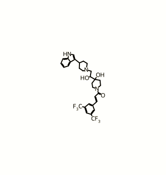 O=C(C=Cc1cc(C(F)(F)F)cc(C(F)(F)F)c1)N1CCC(O)(C(O)CN2CCC(c3c[nH]c4ccccc34)CC2)CC1